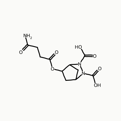 NC(=O)CCC(=O)OC1CC2CC1N(C(=O)O)N2C(=O)O